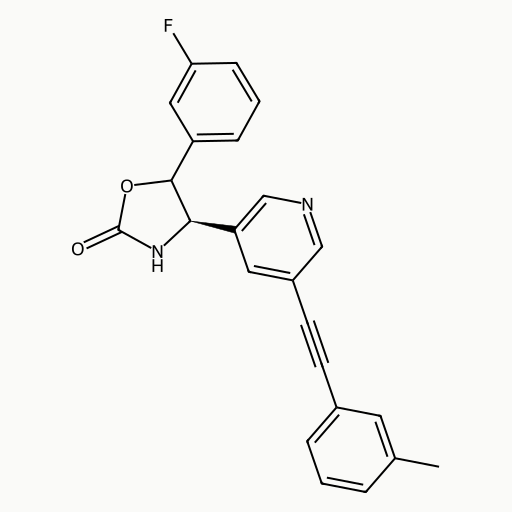 Cc1cccc(C#Cc2cncc([C@H]3NC(=O)OC3c3cccc(F)c3)c2)c1